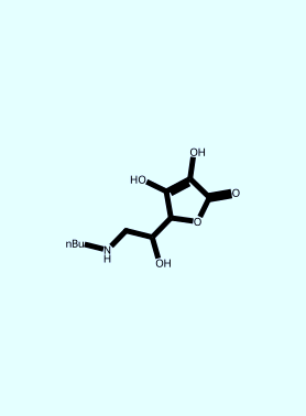 CCCCNCC(O)C1OC(=O)C(O)=C1O